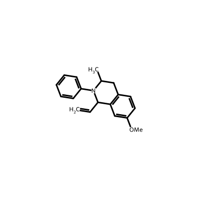 C=CC1c2cc(OC)ccc2CC(C)N1c1ccccc1